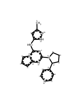 Cc1cc(Nc2nc(N3CCCC3c3ccncc3)nc3cccn23)[nH]n1